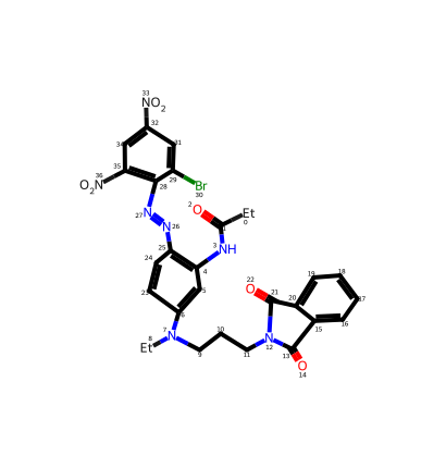 CCC(=O)Nc1cc(N(CC)CCCN2C(=O)c3ccccc3C2=O)ccc1/N=N/c1c(Br)cc([N+](=O)[O-])cc1[N+](=O)[O-]